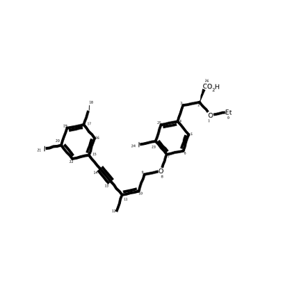 CCO[C@@H](Cc1ccc(OC/C=C(/C)C#Cc2cc(I)cc(I)c2)c(I)c1)C(=O)O